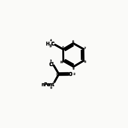 CCCCCC(=O)Cl.Cc1ccccc1